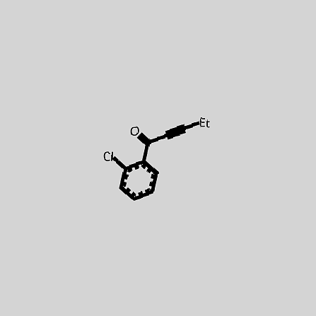 CCC#CC(=O)c1ccccc1Cl